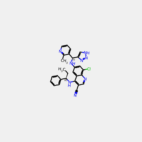 CC[C@@H](Nc1c(C#N)cnc2c(Cl)cc(N[C@H](c3c[nH]nn3)c3cccnc3C)cc12)c1ccccc1